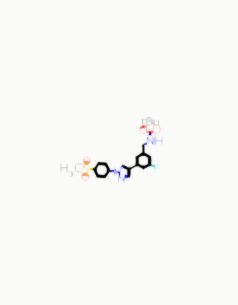 CC(C)(C)OC(=O)NCc1cc(F)cc(-c2cnn(-c3ccc(S(C)(=O)=O)cc3)c2)c1